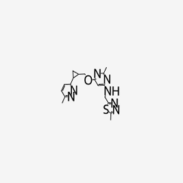 Cc1ccc(C2CC2COc2cc(NCc3nnc(C)s3)nc(C)n2)nn1